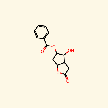 O=C1CC2C(CC(OC(=O)c3ccccc3)C2O)O1